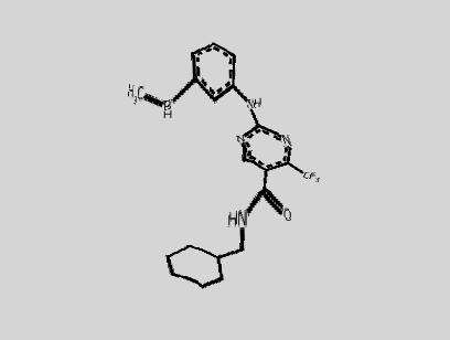 CBc1cccc(Nc2ncc(C(=O)NCC3CCCCC3)c(C(F)(F)F)n2)c1